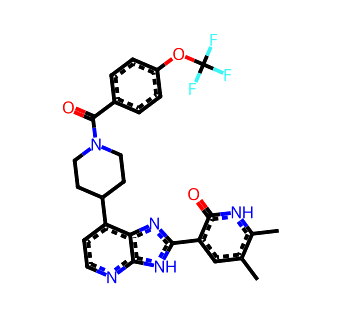 Cc1cc(-c2nc3c(C4CCN(C(=O)c5ccc(OC(F)(F)F)cc5)CC4)ccnc3[nH]2)c(=O)[nH]c1C